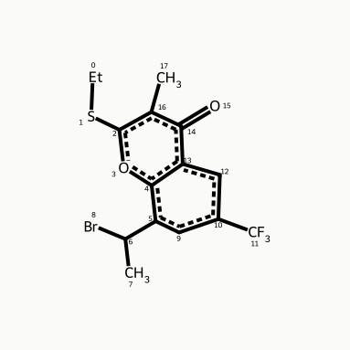 CCSc1oc2c(C(C)Br)cc(C(F)(F)F)cc2c(=O)c1C